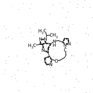 Cc1nn(C(C)C)c2c3cc(nc12)-c1cccnc1OCCCCn1nccc1CN3